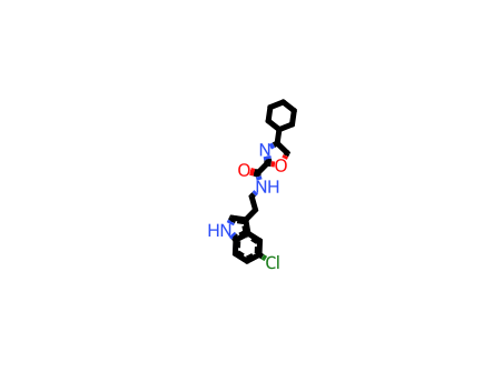 O=C(NCCc1c[nH]c2ccc(Cl)cc12)C1=NC(C2CCCCC2)CO1